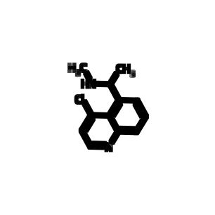 CNC(C)c1cccc2nccc(Cl)c12